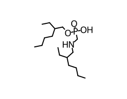 CCCCC(CC)CNCP(=O)(O)OCC(CC)CCCC